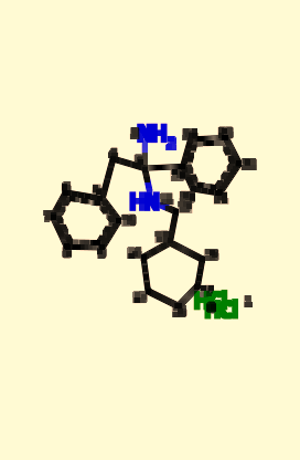 Cl.Cl.NC(Cc1ccccc1)(NCC1CCCCC1)c1ccccc1